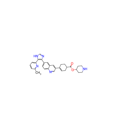 Cc1cccc(-c2[nH]cnc2-c2ccc3ncc(C4=CCC(C(=O)OC5CCNCC5)CC4)cc3c2)n1